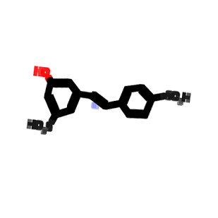 O=S(=O)(O)c1ccc(/C=C/c2cc(O)cc(S(=O)(=O)O)c2)cc1